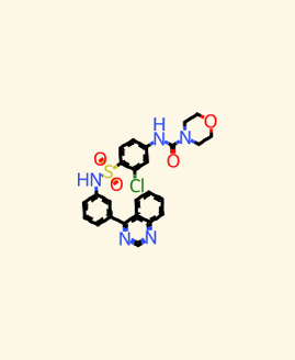 O=C(Nc1ccc(S(=O)(=O)Nc2cccc(-c3ncnc4ccccc34)c2)c(Cl)c1)N1CCOCC1